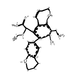 COC(=O)C(OC(C)(C)C)c1c2c(c(CN)c(C)c1-c1ccc3c(c1)CCCO3)NCCC2